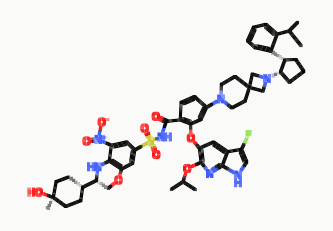 CC(C)Oc1nc2[nH]cc(F)c2cc1Oc1cc(N2CCC3(CC2)CN([C@H]2CCC[C@H]2c2ccccc2C(C)C)C3)ccc1C(=O)NS(=O)(=O)c1cc2c(c([N+](=O)[O-])c1)N[C@@H]([C@H]1CC[C@](C)(O)CC1)CO2